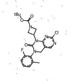 Cc1cccc(F)c1N1Cc2cnc(Cl)nc2N(C2CN(C(=O)OC(C)(C)C)C2)C1=O